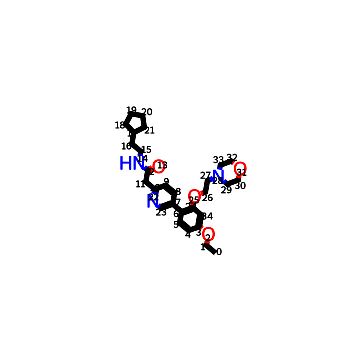 CCOc1ccc(-c2ccc(CC(=O)NCCC3CCCC3)nc2)c(OCCN2CCOCC2)c1